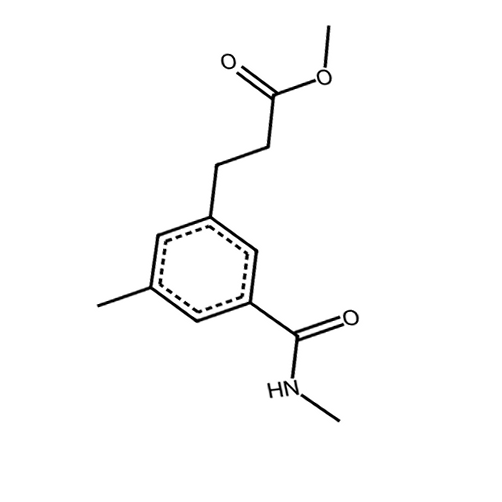 CNC(=O)c1cc(C)cc(CCC(=O)OC)c1